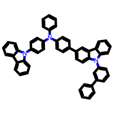 c1ccc(-c2cccc(-n3c4ccccc4c4cc(-c5ccc(N(c6ccccc6)c6ccc(-n7c8ccccc8c8ccccc87)cc6)cc5)ccc43)c2)cc1